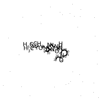 C[Si](C)(C)CCOCn1ccc2nc(NC(=O)NC3CCCCN(C(=O)CI)C3)cnc21